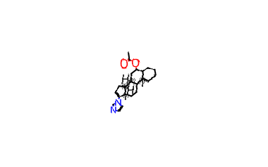 CC(=O)OC1C[C@@H]2C(CC[C@]3(C)C(n4ccnc4)=CC[C@@H]23)[C@@]2(C)CCCCC12